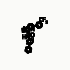 O=C(Nc1ncc(-c2ccccc2)s1)N1c2nc(-c3cccc(C(F)(F)F)c3)ccc2N2CCC21